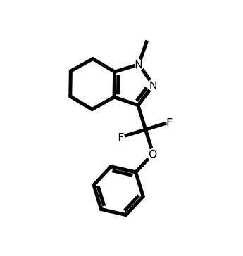 Cn1nc(C(F)(F)Oc2ccccc2)c2c1CCCC2